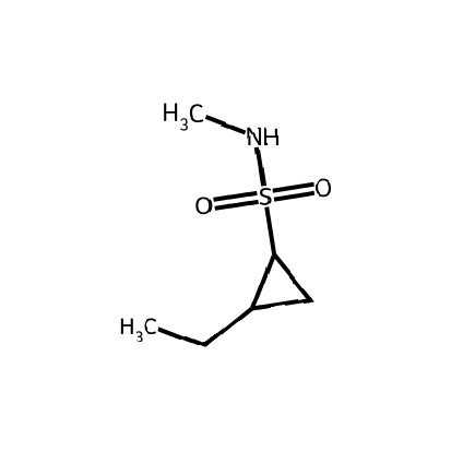 CCC1CC1S(=O)(=O)NC